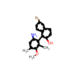 COc1c(C)cc(N)c(-c2c(O)ccc3cc(Br)ccc23)c1C